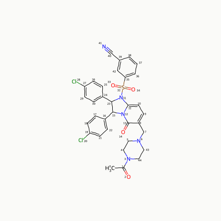 CC(=O)N1CCN(Cc2ccc3n(c2=O)C(c2ccc(Cl)cc2)C(c2ccc(Cl)cc2)N3S(=O)(=O)c2cccc(C#N)c2)CC1